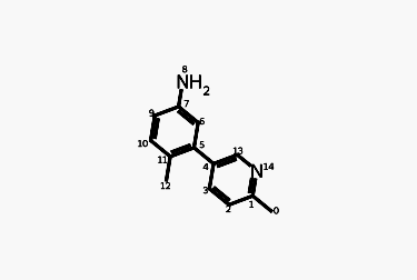 Cc1ccc(-c2cc(N)ccc2C)cn1